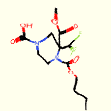 CCCCOC(=O)N1CCN(C(=O)O)CC1(C(=O)OC)C(F)F